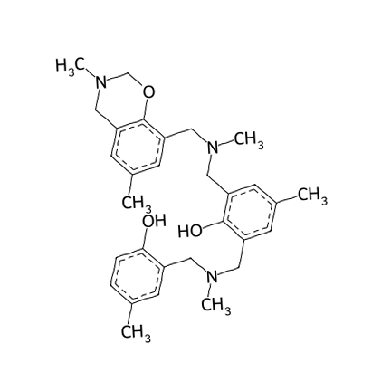 Cc1ccc(O)c(CN(C)Cc2cc(C)cc(CN(C)Cc3cc(C)cc4c3OCN(C)C4)c2O)c1